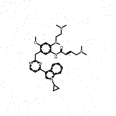 COc1cc(N(C)CCN(C)C)c(NC(=O)/C=C/CN(C)C)cc1Cc1nccc(-c2cn(C3CC3)c3ccccc23)n1